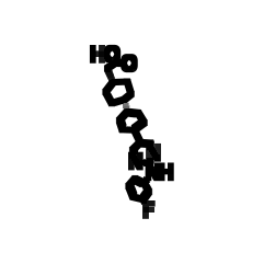 O=C(O)C[C@H]1CC[C@H](c2ccc(-c3cnc(Nc4cccc(F)c4)nc3)cc2)CC1